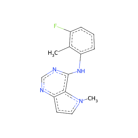 Cc1c(F)cccc1Nc1ncnc2ccn(C)c12